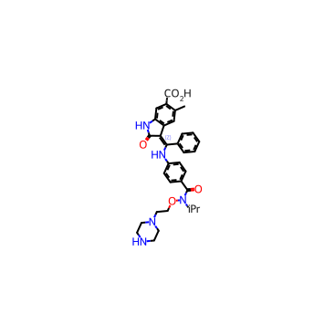 Cc1cc2c(cc1C(=O)O)NC(=O)/C2=C(\Nc1ccc(C(=O)N(OCCN2CCNCC2)C(C)C)cc1)c1ccccc1